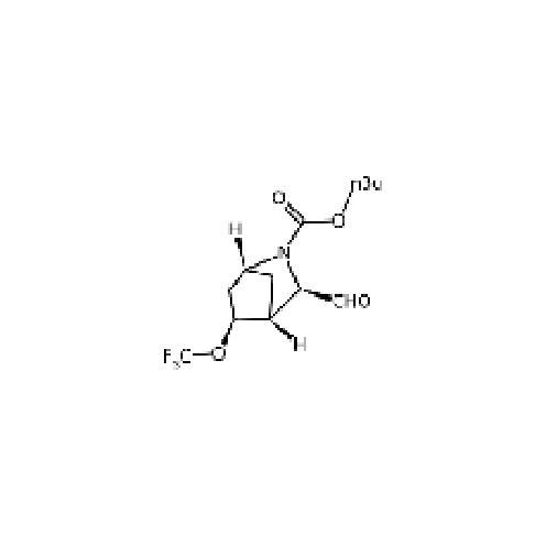 CCCCOC(=O)N1[C@@H]2C[C@@H]([C@@H](OC(F)(F)F)C2)[C@@H]1C=O